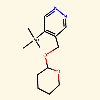 [CH3][Sn]([CH3])([CH3])[c]1cnncc1COC1CCCCO1